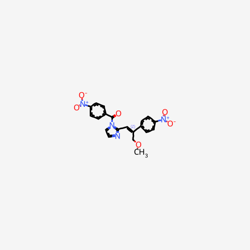 COC/C(=C\c1nccn1C(=O)c1ccc([N+](=O)[O-])cc1)c1ccc([N+](=O)[O-])cc1